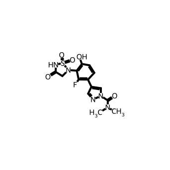 CN(C)C(=O)n1cc(-c2ccc(O)c(N3CC(=O)NS3(=O)=O)c2F)cn1